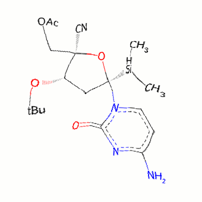 CC(=O)OC[C@@]1(C#N)O[C@](n2ccc(N)nc2=O)([SiH](C)C)C[C@@H]1OC(C)(C)C